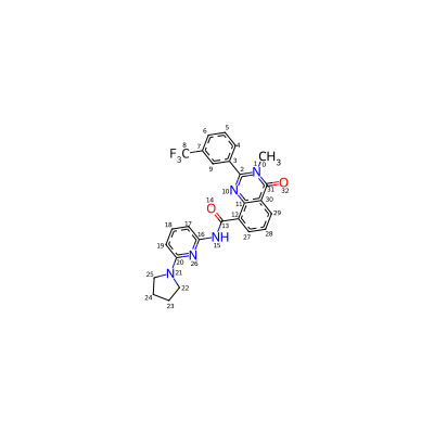 Cn1c(-c2cccc(C(F)(F)F)c2)nc2c(C(=O)Nc3cccc(N4CCCC4)n3)cccc2c1=O